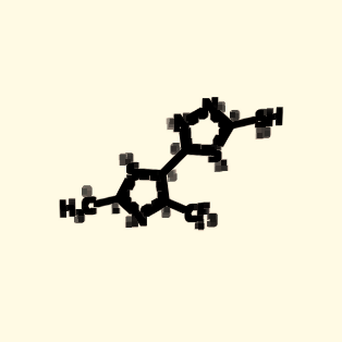 Cc1nc(C(F)(F)F)c(-c2nnc(S)s2)s1